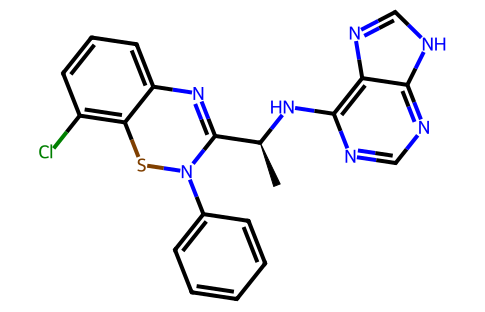 C[C@H](Nc1ncnc2[nH]cnc12)C1=Nc2cccc(Cl)c2SN1c1ccccc1